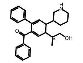 C[C@H](CO)[C]1C=C(C(=O)c2ccccc2)C(c2ccccc2)=CC1C1CCCNC1